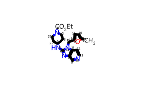 CCOC(=O)N1CCC(Nc2nc3cnccc3n2Cc2ccc(C)o2)CC1